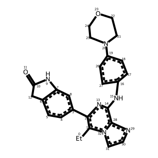 CCc1c(-c2ccc3c(c2)NC(=O)C3)nc(Nc2ccc(N3CCOCC3)cc2)c2nccn12